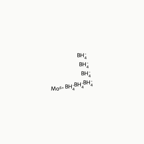 [BH4-].[BH4-].[BH4-].[BH4-].[BH4-].[BH4-].[Mo+6]